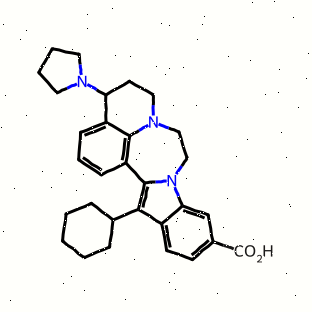 O=C(O)c1ccc2c(C3CCCCC3)c3n(c2c1)CCN1CCC(N2CCCC2)c2cccc-3c21